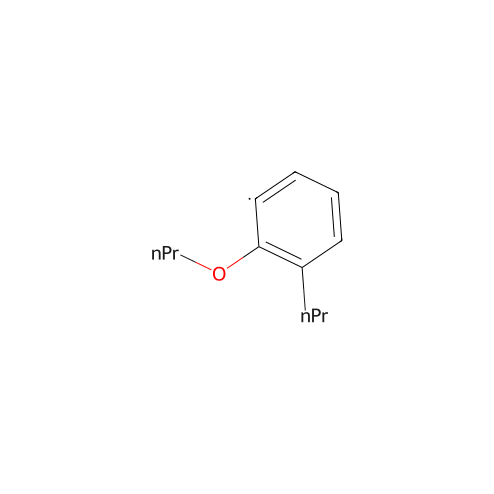 CCCOc1[c]cccc1CCC